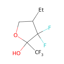 CCC1COC(O)(C(F)(F)F)C1(F)F